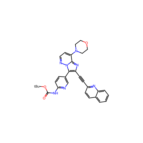 CC(C)(C)OC(=O)Nc1ccc(-c2c(C#Cc3ccc4ccccc4n3)nc3c(N4CCOCC4)ccnn23)cn1